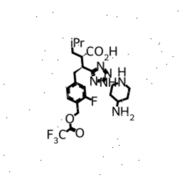 CC(C)C[C@H](C(=O)O)[C@H](Cc1ccc(COC(=O)C(F)(F)F)c(F)c1)c1nn[nH]n1.NC1CCNCC1